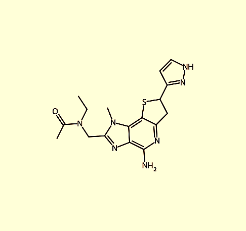 CCN(Cc1nc2c(N)nc3c(c2n1C)SC(c1cc[nH]n1)C3)C(C)=O